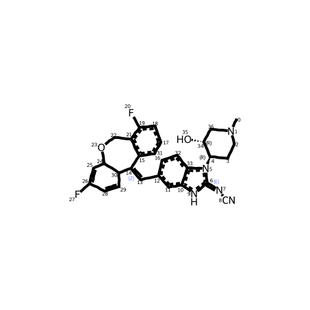 CN1CC[C@@H](n2/c(=N/C#N)[nH]c3cc(/C=C4\c5cccc(F)c5COC5C=C(F)C=CC45)ccc32)[C@H](O)C1